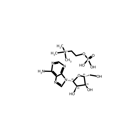 C[N+](C)(C)CCOP(=O)(O)O.Nc1ncnc2c1ncn2[C@@H]1O[C@H](CO)[C@@H](O)[C@H]1O